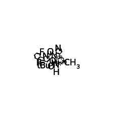 C[C@H]1C[C@@H](NC(=O)OC(C)(C)C)C[C@@H](c2ccncc2NC(=O)c2ccc(F)c(-c3c(F)cccc3F)n2)C1